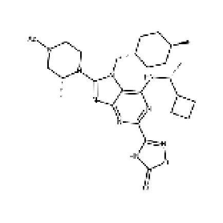 CC(=O)N1CCN(c2nc3nc(-c4noc(=O)[nH]4)nc(N[C@H](C)C4CCC4)c3n2C[C@H]2CC[C@H](C)CC2)[C@H](C)C1